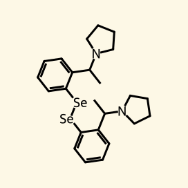 CC(c1ccccc1[Se][Se]c1ccccc1C(C)N1CCCC1)N1CCCC1